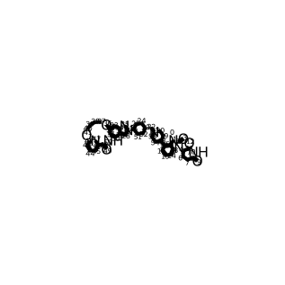 Cn1c(=O)n(C2CCC(=O)NC2=O)c2cccc(C3CCN(C[C@H]4CC[C@H](n5cc6cc7c(cc6n5)OCCCCOc5cccc(n5)C(=O)N7)CC4)CC3)c21